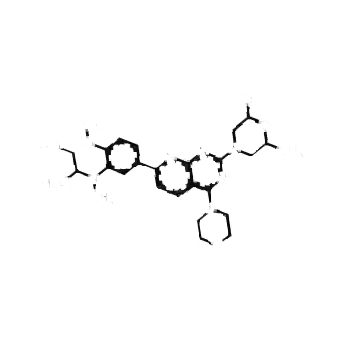 COc1ccc(-c2ccc3c(N4CCOCC4)nc(N4CC(C)OC(C)C4)nc3n2)cc1N(C)C(C)CO